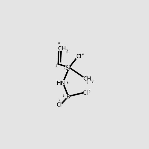 C=C[Si](C)(Cl)NB(Cl)Cl